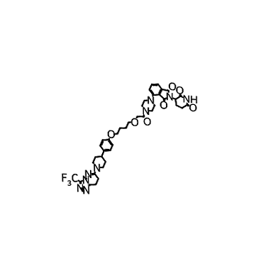 O=C1CCC(N2C(=O)c3cccc(N4CCN(C(=O)COCCCCOc5ccc(C6CCN(C7=Nn8c(nnc8C(F)(F)F)CC7)CC6)cc5)CC4)c3C2=O)C(=O)N1